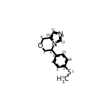 CSc1ccc(C2COCc3cncn32)cc1